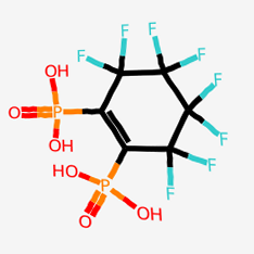 O=P(O)(O)C1=C(P(=O)(O)O)C(F)(F)C(F)(F)C(F)(F)C1(F)F